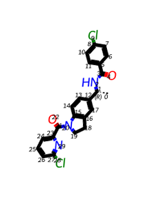 C[C@@H](NC(=O)c1ccc(Cl)cc1)c1ccc2c(c1)CCN2C(=O)c1cccc(Cl)n1